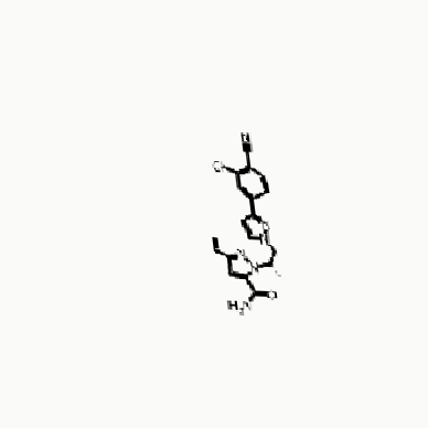 C=Cc1cc(C(N)=O)n([C@@H](C)Cn2ccc(-c3ccc(C#N)c(Cl)c3)n2)n1